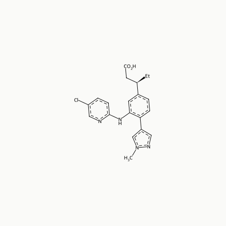 CC[C@H](CC(=O)O)c1ccc(-c2cnn(C)c2)c(Nc2ccc(Cl)cn2)c1